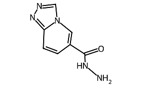 NNC(=O)c1ccc2nncn2c1